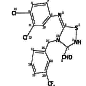 O=CC1NSC(=Nc2ccc(Cl)c(Cl)c2)N1Cc1cccc(C(F)(F)F)c1